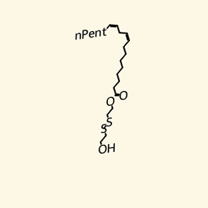 CCCCC/C=C\C/C=C\CCCCCCCC(=O)OCCSSCCO